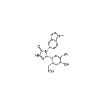 CC(C)c1cc(-c2n[nH]c(=O)n2-c2ccc3c(ccn3C)c2)c(CC(C)(C)C)cc1O